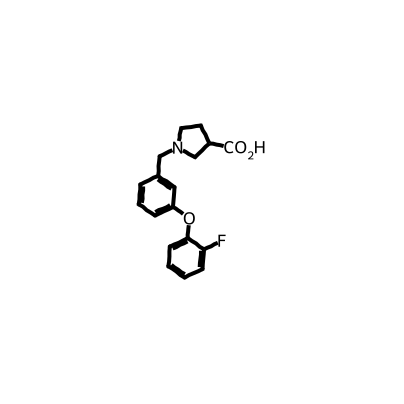 O=C(O)C1CCN(Cc2cccc(Oc3ccccc3F)c2)C1